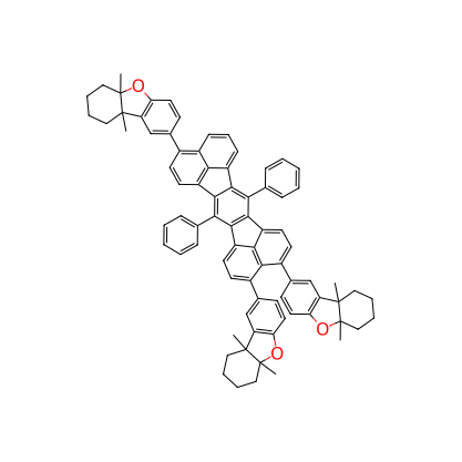 CC12CCCCC1(C)c1cc(-c3ccc4c5c(-c6ccccc6)c6c7ccc(-c8ccc9c(c8)C8(C)CCCCC8(C)O9)c8c(-c9ccc%10c(c9)C9(C)CCCCC9(C)O%10)ccc(c6c(-c6ccccc6)c5c5cccc3c54)c87)ccc1O2